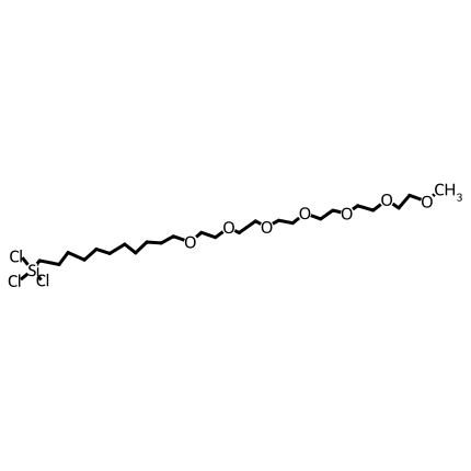 COCCOCCOCCOCCOCCOCCOCCCCCCCCCCC[Si](Cl)(Cl)Cl